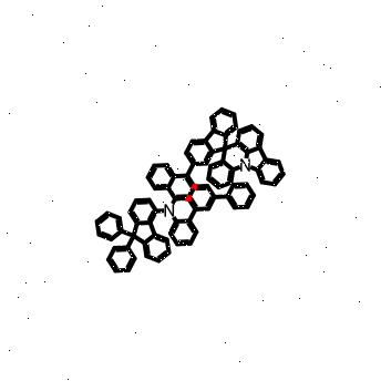 c1ccc(-c2cccc(-c3ccccc3N(c3cccc4c3-c3ccccc3C4(c3ccccc3)c3ccccc3)c3ccc(-c4ccc5c(c4)C4(c6ccccc6-5)c5ccccc5-n5c6ccccc6c6cccc4c65)c4ccccc34)c2)cc1